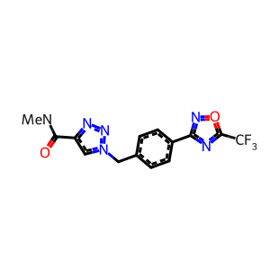 CNC(=O)c1cn(Cc2ccc(-c3noc(C(F)(F)F)n3)cc2)nn1